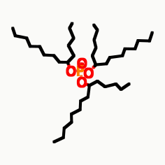 CCCCCCCCC(CCCCC)OP(=O)(OC(CCCCC)CCCCCCCC)OC(CCCCC)CCCCCCCC